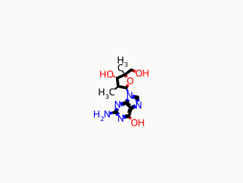 C[C@@H]1[C@H](n2cnc3c(O)nc(N)nc32)O[C@](C)(CO)[C@H]1O